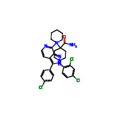 NC(=O)C1([N+]2(c3nccc4c(-c5ccc(Cl)cc5)n(-c5ccc(Cl)cc5Cl)nc34)CCCCC2)CCNCC1